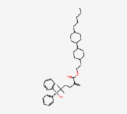 C=C(CCC(C)(C)[Si](O)(c1ccccc1)c1ccccc1)C(=O)OCCC1CCC(C2CCC(CCCCC)CC2)CC1